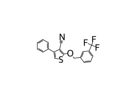 N#Cc1c(-c2ccccc2)csc1OCc1cccc(C(F)(F)F)c1